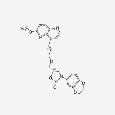 COc1ccc2nccc(/C=C/COC[C@@H]3CN(c4ccc5c(c4)OCCO5)C(=O)O3)c2n1